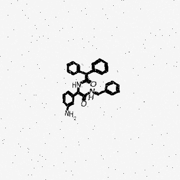 Nc1cccc(C(NC(=O)C(c2ccccc2)c2ccccc2)C(=O)NCc2ccccc2)c1